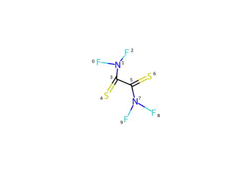 FN(F)C(=S)C(=S)N(F)F